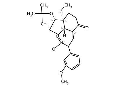 CC[C@]12CCC(=O)[C@@H](CC(c3cccc(OC)c3)[N+](=O)[O-])[C@@H]1CC[C@@H]2OC(C)(C)C